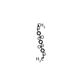 C=CCOc1ccc(C(=O)Oc2ccc(OC(=O)c3ccc(COC=C)cc3)cc2)cc1